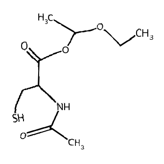 CCOC(C)OC(=O)C(CS)NC(C)=O